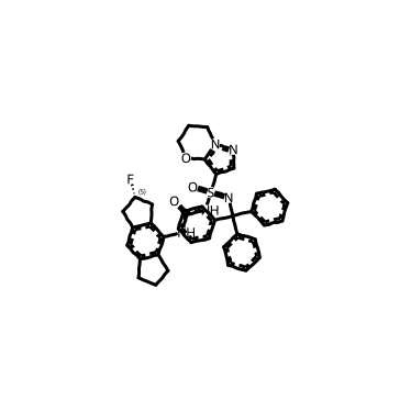 O=C(Nc1c2c(cc3c1C[C@@H](F)C3)CCC2)NS(=O)(=NC(c1ccccc1)(c1ccccc1)c1ccccc1)c1cnn2c1OCCC2